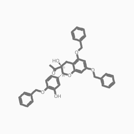 CC(=O)[C@]1(O)Cc2c(OCc3ccccc3)cc(OCc3ccccc3)cc2O[C@@H]1c1ccc(OCc2ccccc2)c(O)c1